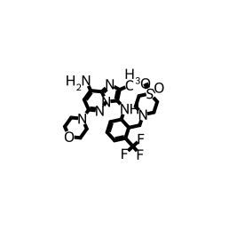 Cc1nc2c(N)cc(N3CCOCC3)nn2c1NC1C=CC=C(C(F)(F)F)C1CN1CCS(=O)(=O)CC1